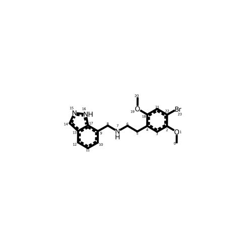 COc1cc(CCNCc2cccc3cn[nH]c23)c(OC)cc1Br